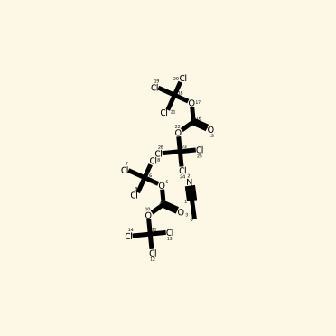 CC#N.O=C(OC(Cl)(Cl)Cl)OC(Cl)(Cl)Cl.O=C(OC(Cl)(Cl)Cl)OC(Cl)(Cl)Cl